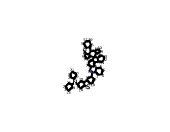 C(=C(/c1ccccc1)c1ccc2sc3ccc(N(c4ccccc4)c4ccccc4)cc3c2c1)/c1ccc2c(c1)-c1ccccc1C21c2ccccc2C2c3ccccc3Sc3cccc1c32